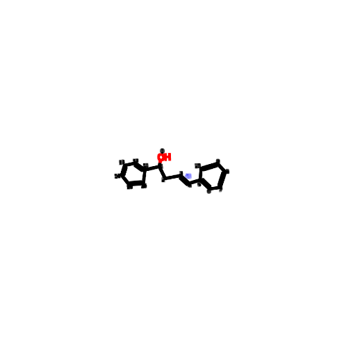 OC(C/C=C/c1ccccc1)c1ccccc1